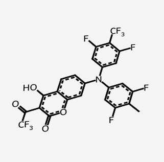 Cc1c(F)cc(N(c2cc(F)c(C(F)(F)F)c(F)c2)c2ccc3c(O)c(C(=O)C(F)(F)F)c(=O)oc3c2)cc1F